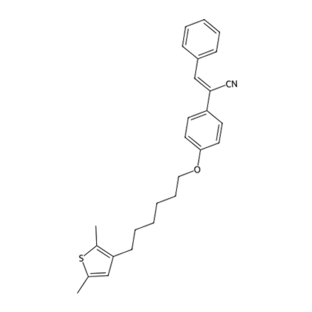 Cc1cc(CCCCCCOc2ccc(/C(C#N)=C/c3ccccc3)cc2)c(C)s1